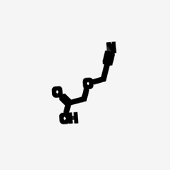 N#CCOCC(=O)O